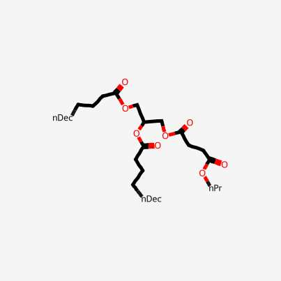 CCCCCCCCCCCCCC(=O)OCC(COC(=O)CCC(=O)OCCC)OC(=O)CCCCCCCCCCCCC